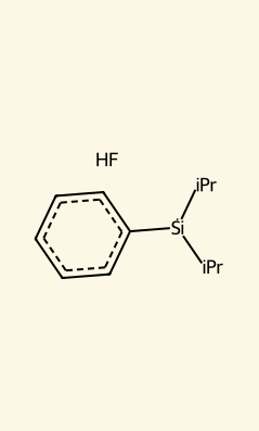 CC(C)[Si](c1ccccc1)C(C)C.F